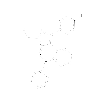 OCc1nn(-c2ccc(F)cc2)c2c1cc(-c1cccnc1)c1cnccc12